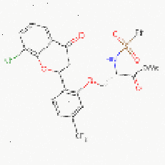 CCS(=O)(=O)N[C@@H](COc1cc(C(F)(F)F)ccc1C1CC(=O)c2cccc(Cl)c2O1)C(=O)OC